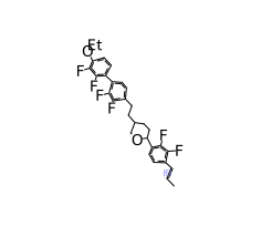 C/C=C/c1ccc(C2CCC(CCc3ccc(-c4ccc(OCC)c(F)c4F)c(F)c3F)CO2)c(F)c1F